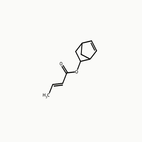 CC=CC(=O)OC1CC2C=CC1C2